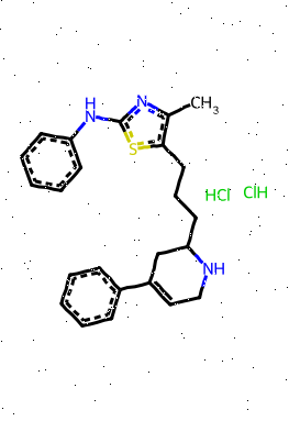 Cc1nc(Nc2ccccc2)sc1CCCC1CC(c2ccccc2)=CCN1.Cl.Cl